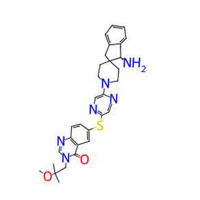 COC(C)(C)Cn1cnc2ccc(Sc3cnc(N4CCC5(CC4)Cc4ccccc4[C@H]5N)cn3)cc2c1=O